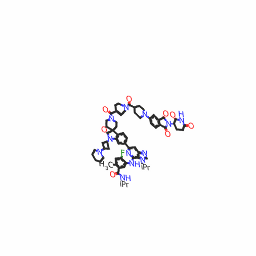 Cc1cc(F)c(Nc2nc(-c3ccc4c(c3)N(C3CC(N5CCCCC5)C3)C(=O)C43CCN(C(=O)C4=CCN(C(=O)C5CCN(c6ccc7c(c6)C(=O)N([C@@H]6CCC(=O)NC6=O)C7=O)CC5)CC4)CC3)cc3ncn(C(C)C)c23)cc1C(=O)NC(C)C